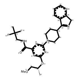 COC[C@@H](C)Oc1nc(C(=O)NCC(C)(F)F)nc(N2CCC(C3=NCc4ncccc43)CC2)n1